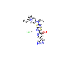 CC(C)N1CCC(N(C)c2nc3sc(-c4ncc(-c5cn[nH]c5)cc4O)nc3s2)CC1.Cl